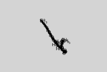 COCCOCCOCCOCCOCCOCCOCCOCCOCCOCC(=O)NCCCCC(NC(=O)CCCN1C(=O)C=CC1=O)C(=O)NCCCC(=O)OC(C)(C)C